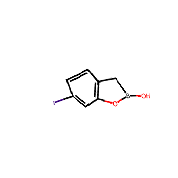 OB1Cc2ccc(I)cc2O1